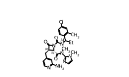 CCC(NC(=O)N1C(=O)[C@H](Cc2ccnc(N)c2)[C@H]1C(=O)N(C)c1nccn1C)c1ccc(Cl)cc1C